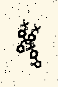 O=C1CCCN1c1ccc(S(=O)(=O)NCC(Cc2ccccc2)(c2cccc(OC(F)(F)F)c2)c2cccc(OC(F)(F)F)c2)cc1